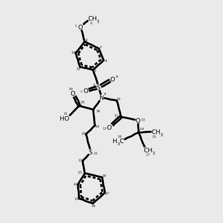 COc1ccc(S(=O)(=O)N(CC(=O)OC(C)(C)C)C(CCSCc2ccccc2)C(=O)O)cc1